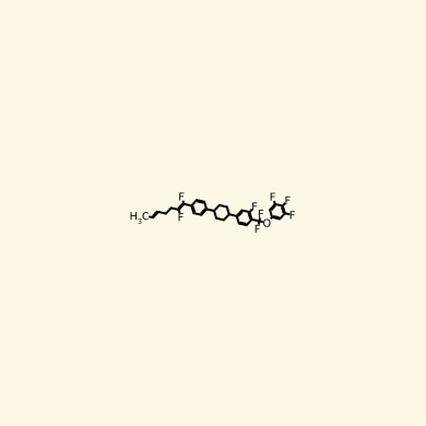 C/C=C/CC/C(F)=C(\F)c1ccc(C2CCC(c3ccc(C(F)(F)Oc4cc(F)c(F)c(F)c4)c(F)c3)CC2)cc1